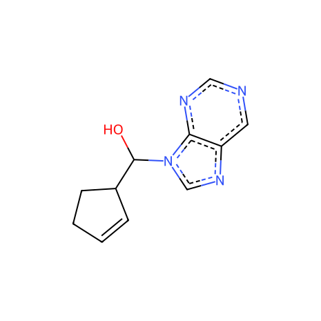 OC(C1C=CCC1)n1cnc2cncnc21